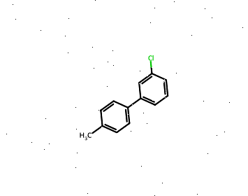 Cc1[c]cc(-c2cccc(Cl)c2)cc1